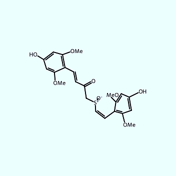 COc1cc(O)cc(OC)c1/C=C\[S+]([O-])CC(=O)/C=C/c1c(OC)cc(O)cc1OC